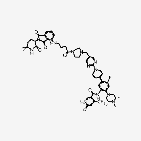 C[C@@H]1CN(c2cc(F)c(C3=CCN(c4ncc(CN5CCN(C(=O)CCCNc6cccc7c6C(=O)N(C6CCC(=O)NC6=O)C7=O)CC5)cn4)CC3)cc2NC(=O)c2c[nH]c(=O)cc2C(F)(F)F)C[C@H](C)N1C